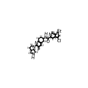 CCn1cc(Cl)c2cc(C(=O)NC3CCc4nc(N5CCC6CNCC65)c(F)cc4C3)nnc21